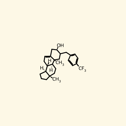 C[C@@]12CCC[C@H]1[C@@H]1CC=C3C[C@@H](O)C(Cc4ccc(C(F)(F)F)cc4)C[C@]3(C)[C@H]1CC2